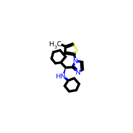 Cc1csc(-n2ccnc2[C@@H](NC2CCCCC2)C2CCCCC2)c1